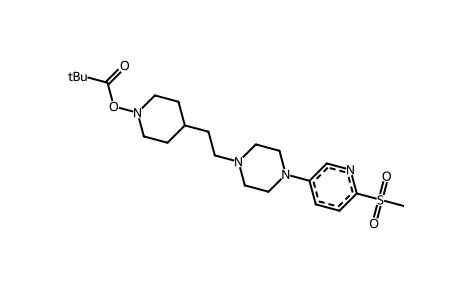 CC(C)(C)C(=O)ON1CCC(CCN2CCN(c3ccc(S(C)(=O)=O)nc3)CC2)CC1